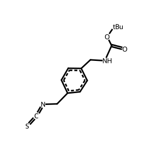 CC(C)(C)OC(=O)NCc1ccc(CN=C=S)cc1